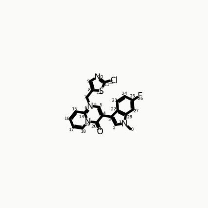 Cn1cc(-c2c[n+](Cc3cnc(Cl)s3)c3ccccn3c2=O)c2ccc(F)cc21